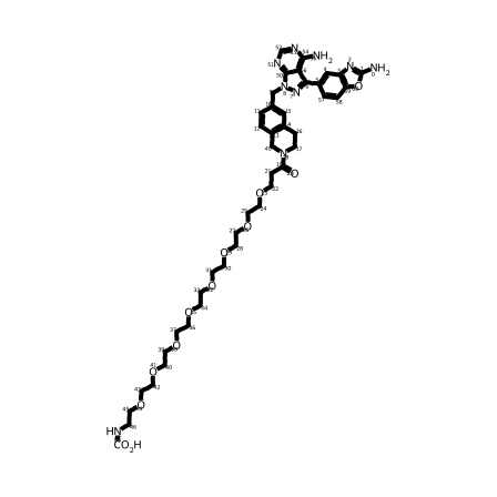 Nc1nc2cc(-c3nn(Cc4ccc5c(c4)CCN(C(=O)CCOCCOCCOCCOCCOCCOCCOCCOCCNC(=O)O)C5)c4ncnc(N)c34)ccc2o1